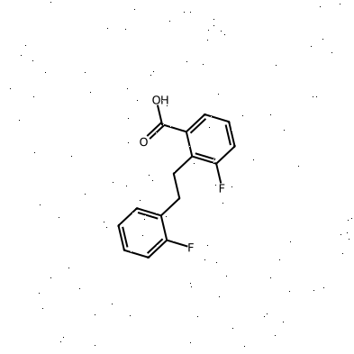 O=C(O)c1cccc(F)c1CCc1ccccc1F